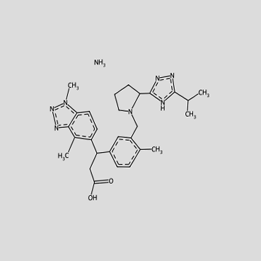 Cc1ccc(C(CC(=O)O)c2ccc3c(nnn3C)c2C)cc1CN1CCCC1c1nnc(C(C)C)[nH]1.N